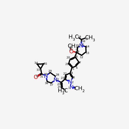 C=Nn1cc(-c2ccc(C3(OC)CCCN(C(C)C)C3)cc2)cc1/C(=C\C)N1CCN(C(=O)C2CC2)CC1